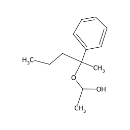 CCCC(C)(OC(C)O)c1ccccc1